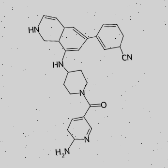 N#CC1C=C(C2=CC3C=CNCC3C(NC3CCN(C(=O)C4=CCC(N)N=C4)CC3)=C2)C=CC1